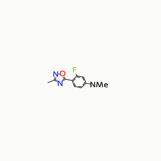 CNc1ccc(-c2nc(C)no2)c(F)c1